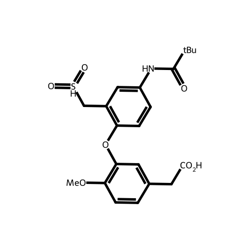 COc1ccc(CC(=O)O)cc1Oc1ccc(NC(=O)C(C)(C)C)cc1C[SH](=O)=O